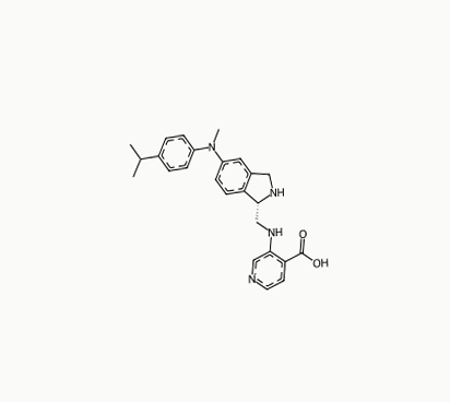 CC(C)c1ccc(N(C)c2ccc3c(c2)CN[C@@H]3CNc2cnccc2C(=O)O)cc1